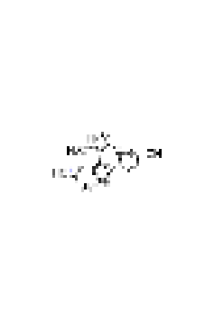 CCCc1nn(-c2ccc(O)cc2)c(-c2c(C)noc2C)c1/C=N/O